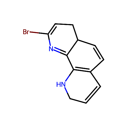 BrC1=CCC2C=CC3=C(NCC=C3)C2=N1